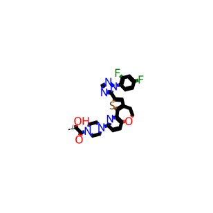 C[C@H](O)C(=O)N1CCN(c2ccc3c(n2)-c2sc(-c4ncnn4-c4ccc(F)cc4F)cc2CCO3)CC1